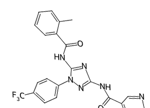 Cc1ccccc1C(=O)Nc1nc(NC(=O)c2cccnc2)nn1-c1ccc(C(F)(F)F)cc1